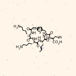 C/C=C/C[C@H](NC(=O)[C@H](CCCCN)NC(=O)[C@H](CCCCN)NC(=O)[C@H](C)N)C(=O)N[C@@H](Cc1cccs1)C(=O)N[C@@H](CC(C)C)C(=O)O